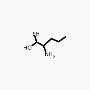 CCCC(N)C(O)S